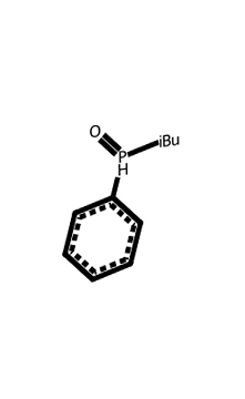 CCC(C)[PH](=O)c1ccccc1